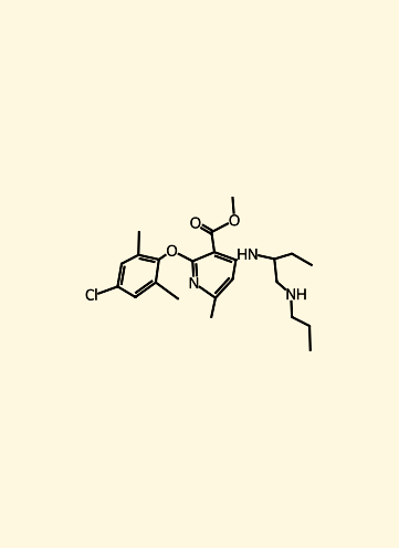 CCCNCC(CC)Nc1cc(C)nc(Oc2c(C)cc(Cl)cc2C)c1C(=O)OC